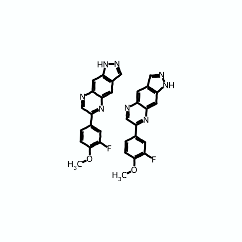 COc1ccc(-c2cnc3cc4[nH]ncc4cc3n2)cc1F.COc1ccc(-c2cnc3cc4cn[nH]c4cc3n2)cc1F